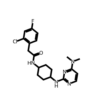 CN(C)c1ccnc(NC2CCC(NC(=O)Cc3ccc(F)cc3Cl)CC2)n1